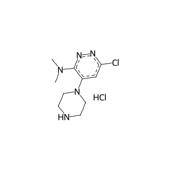 CN(C)c1nnc(Cl)cc1N1CCNCC1.Cl